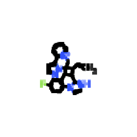 C=CC1C2C3NC=CN3c3ccc(F)cc3C2C12C[n+]1ccccc1-c1ccnn12